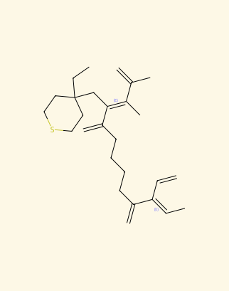 C=C/C(=C\C)C(=C)CCCCC(=C)/C(CC1(CC)CCSCC1)=C(\C)C(=C)C